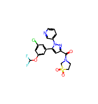 O=C(c1cc(-c2cc(Cl)cc(OC(F)F)c2)n(-c2cccnc2)n1)N1CCS(=O)(=O)C1